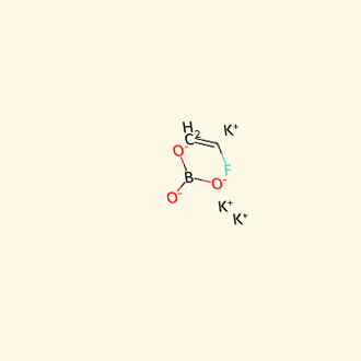 C=CF.[K+].[K+].[K+].[O-]B([O-])[O-]